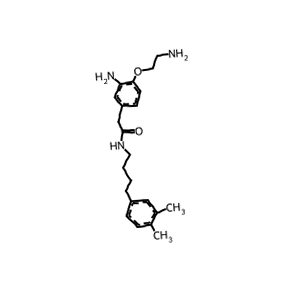 Cc1ccc(CCCCNC(=O)Cc2ccc(OCCN)c(N)c2)cc1C